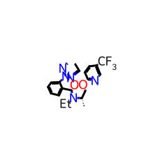 C=NN(/N=C\C)c1ccccc1C(=O)N(CC)[C@@H](C)COc1ccc(C(F)(F)F)cn1